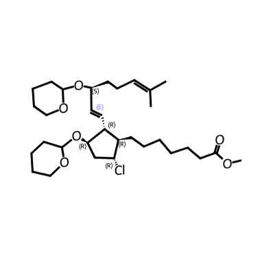 COC(=O)CCCCCC[C@@H]1[C@@H](/C=C/[C@H](CCC=C(C)C)OC2CCCCO2)[C@H](OC2CCCCO2)C[C@H]1Cl